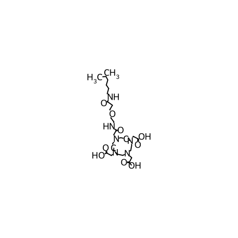 CC(C)CCCCNC(=O)CCOCCNC(=O)CN1CCN(CC(=O)O)CCN(CC(=O)O)CCN(CC(=O)O)CC1